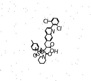 Cc1ccc(S(=O)(=O)[C@H]2CCCCN2C(=O)[AsH]C(Cc2ccc3nc(-c4c(Cl)cccc4Cl)ccc3c2)C(=O)O)cc1